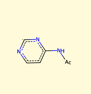 CC(=O)Nc1ccn[c]n1